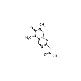 CC(=O)Cc1ncc2c(n1)CN(C)C(=O)N2C